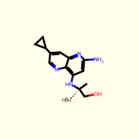 CCCC[C@](C)(CO)Nc1cc(N)nc2cc(C3CC3)cnc12